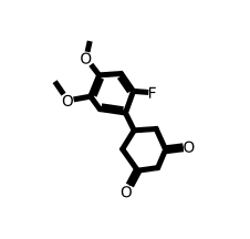 COc1cc(F)c(C2CC(=O)CC(=O)C2)cc1OC